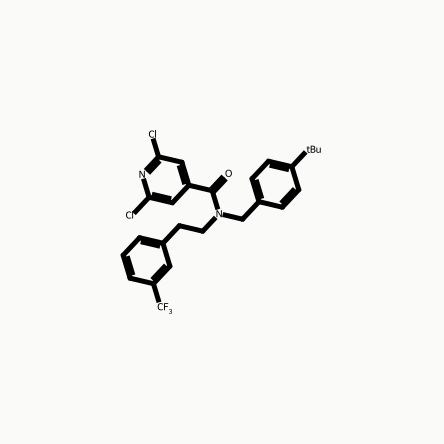 CC(C)(C)c1ccc(CN(CCc2cccc(C(F)(F)F)c2)C(=O)c2cc(Cl)nc(Cl)c2)cc1